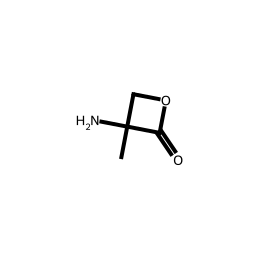 CC1(N)COC1=O